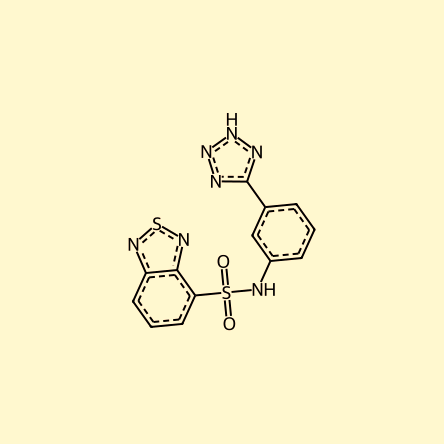 O=S(=O)(Nc1cccc(-c2nn[nH]n2)c1)c1cccc2nsnc12